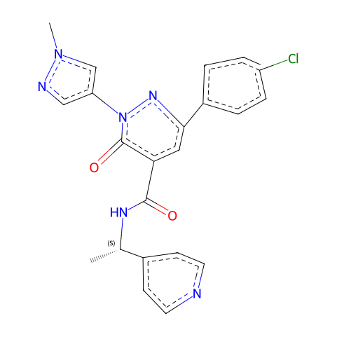 C[C@H](NC(=O)c1cc(-c2ccc(Cl)cc2)nn(-c2cnn(C)c2)c1=O)c1ccncc1